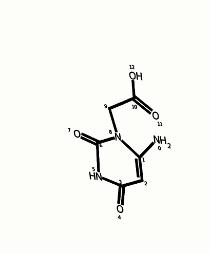 Nc1cc(=O)[nH]c(=O)n1CC(=O)O